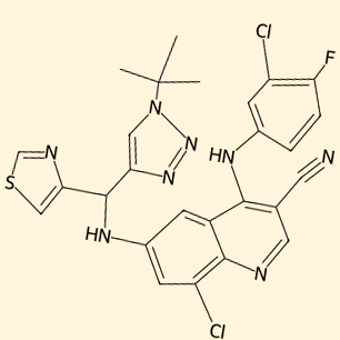 CC(C)(C)n1cc(C(Nc2cc(Cl)c3ncc(C#N)c(Nc4ccc(F)c(Cl)c4)c3c2)c2cscn2)nn1